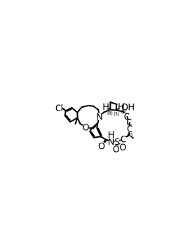 C[C@@H]1CCC[C@H](O)[C@H]2CC[C@H]2CN2CCCCC3C=C(Cl)C=CC3(C)COc3ccc(cc32)C(=O)NS(=O)(=O)C1